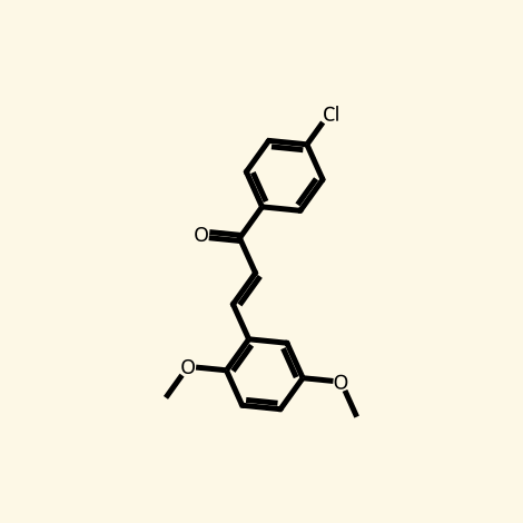 COc1ccc(OC)c(C=CC(=O)c2ccc(Cl)cc2)c1